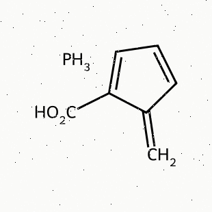 C=C1C=CC=C1C(=O)O.P